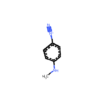 CNc1ccc([N+]#N)cc1